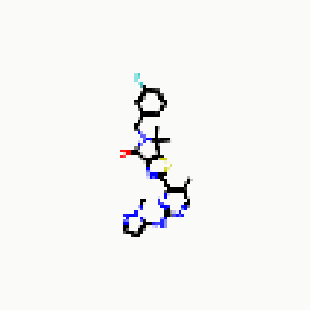 Cc1cnc(Nc2ccnn2C)nc1-c1nc2c(s1)C(C)(C)N(Cc1cccc(F)c1)C2=O